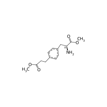 COC(=O)CCc1ccc(C[C@H](N)C(=O)OC)cc1